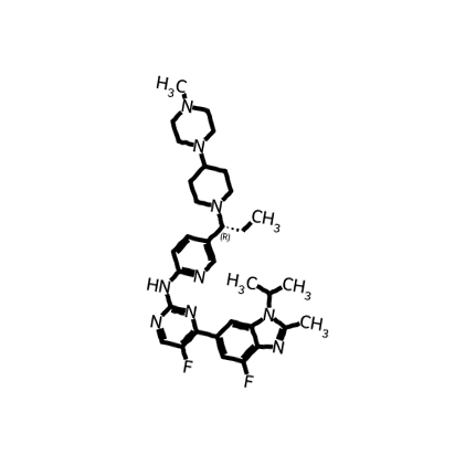 CC[C@H](c1ccc(Nc2ncc(F)c(-c3cc(F)c4nc(C)n(C(C)C)c4c3)n2)nc1)N1CCC(N2CCN(C)CC2)CC1